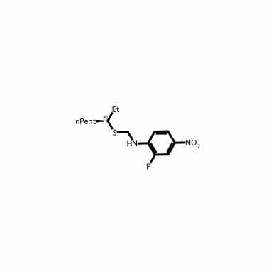 CCCCC[C@@H](CC)SCNc1ccc([N+](=O)[O-])cc1F